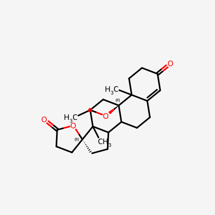 CCO[C@]12CCC3(C)C(CC[C@@]34CCC(=O)O4)C1CCC1=CC(=O)CCC12C